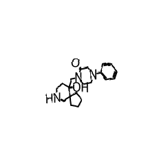 O=C1CN(c2ccccc2)CCN1CC1(O)CCNCC12CCCC2